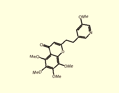 COc1cncc(CCc2cc(=O)c3c(OC)c(OC)c(OC)c(OC)c3o2)c1